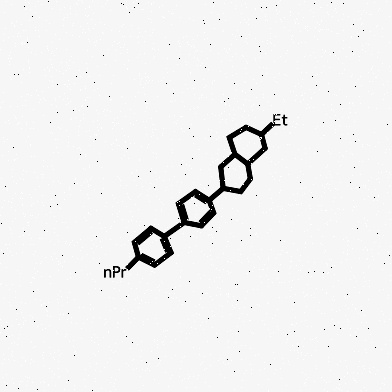 CCCc1ccc(-c2ccc(C3CCC4CC(CC)CCC4C3)cc2)cc1